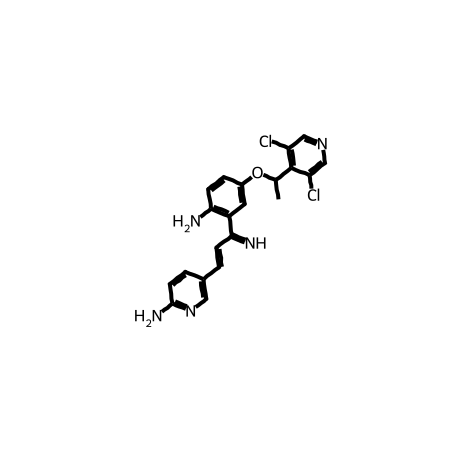 CC(Oc1ccc(N)c(C(=N)/C=C/c2ccc(N)nc2)c1)c1c(Cl)cncc1Cl